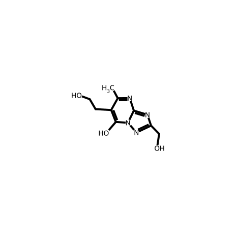 Cc1nc2nc(CO)nn2c(O)c1CCO